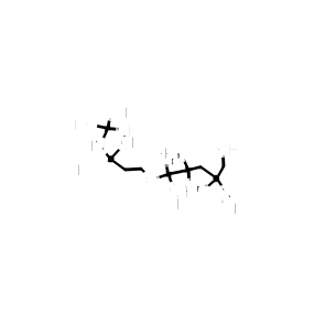 CCC(C)(CC(C)(C)C(C)(C)OCCC(C)(C)NC(C)(C)C)NC